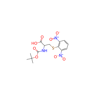 CC(C)(C)OC(=O)NC(CSc1c([N+](=O)[O-])cccc1[N+](=O)[O-])C(=O)O